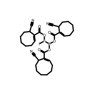 N#CC1CCCCC/C=C\1C(=O)OB(OC(=O)/C1=C/CCCCCCC1C#N)P(I)OC(=O)/C1=C/CCCCCC1C#N